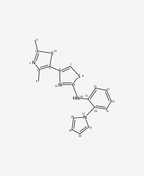 Cc1nc(C)c(-c2csc(Nc3ccccc3-n3cccc3)n2)s1